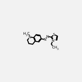 CC[n+]1ccsc1/N=N/c1ccc2c(c1)CCCN2C